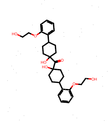 O=C(C1(O)CCC(c2ccccc2OCCO)CC1)C1(O)CCC(c2ccccc2OCCO)CC1